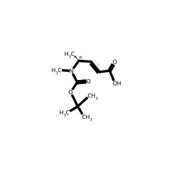 C[C@H](/C=C/C(=O)O)N(C)C(=O)OC(C)(C)C